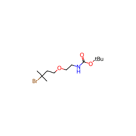 CC(C)(Br)CCOCCNC(=O)OC(C)(C)C